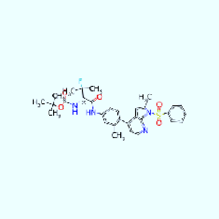 Cc1cc(NC(=O)[C@H](NC(=O)OC(C)(C)C)C(C)(C)F)ccc1-c1ccnc2c1cc(C)n2S(=O)(=O)c1ccccc1